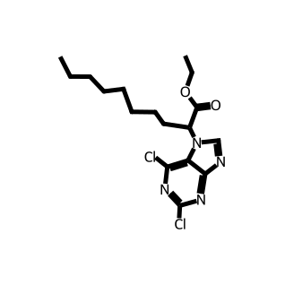 CCCCCCCCC(C(=O)OCC)n1cnc2nc(Cl)nc(Cl)c21